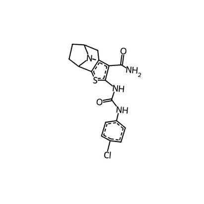 CN1C2CCC1c1sc(NC(=O)Nc3ccc(Cl)cc3)c(C(N)=O)c1C2